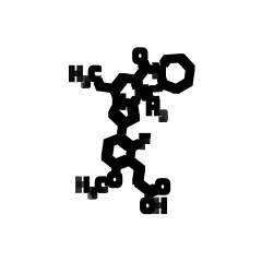 CCc1cc(C(=O)N2CCCCC[C@H]2C)nc2cc(-c3ccc(OC)c(/C=C/C(=O)O)c3F)cn12